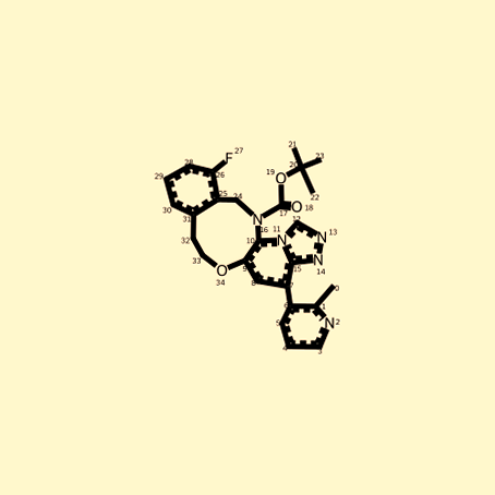 Cc1ncccc1-c1cc2c(n3cnnc13)N(C(=O)OC(C)(C)C)Cc1c(F)cccc1CCO2